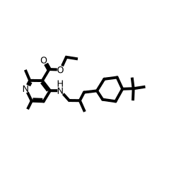 CCOC(=O)c1c(NCC(C)CC2CCC(C(C)(C)C)CC2)cc(C)nc1C